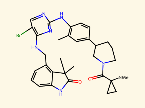 CNC1(C(=O)N2CCCC(c3ccc(Nc4ncc(Br)c(NCc5cccc6c5C(C)(C)C(=O)N6)n4)c(C)c3)C2)CC1